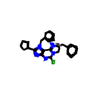 ClC1=Nc2nc(C3CCCC3)n(Cc3ccccc3)c2C2=N[C@H](Cc3ccccc3)CN12